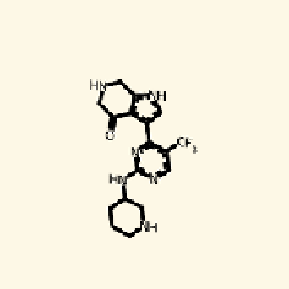 O=C1CNCc2[nH]cc(-c3nc(NC4CCCNC4)ncc3C(F)(F)F)c21